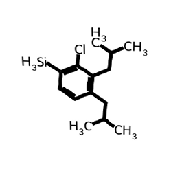 CC(C)Cc1ccc([SiH3])c(Cl)c1CC(C)C